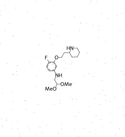 COC(CNc1ccc(F)c(OCCC2CCCCN2)c1)OC